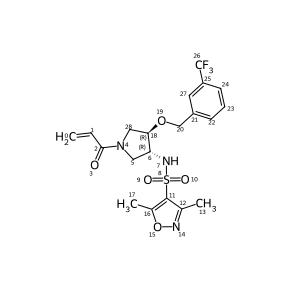 C=CC(=O)N1C[C@@H](NS(=O)(=O)c2c(C)noc2C)[C@H](OCc2cccc(C(F)(F)F)c2)C1